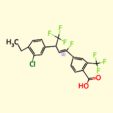 CCc1ccc(C(/C=C(\F)c2ccc(C(=O)O)c(C(F)(F)F)c2)C(F)(F)F)cc1Cl